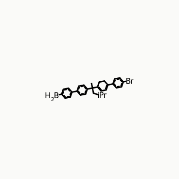 Bc1ccc(-c2ccc(C(C)(CC(C)C)C3=CC=C(c4ccc(Br)cc4)CC3)cc2)cc1